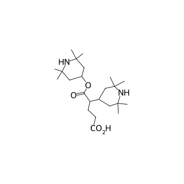 CC1(C)CC(OC(=O)C(CCC(=O)O)C2CC(C)(C)NC(C)(C)C2)CC(C)(C)N1